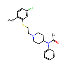 CCC(=O)N(c1ccccc1)C1CCN(CCSc2cc(Cl)ccc2OC)CC1